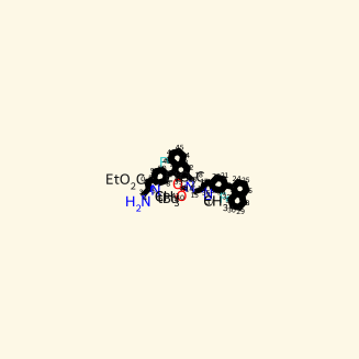 CCOC(=O)c1c(CN)n(C)c2cc(-c3cc(CN(Cc4c(C(=O)OCC)c5ccc(-c6cccc7cccc(F)c67)cc5n4C)C(=O)OC(C)(C)C)cc4cccc(F)c34)ccc12